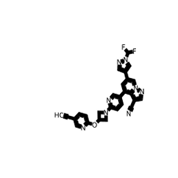 C#Cc1ccc(OC2CN(c3ccc(-c4cc(-c5cnn(C(F)F)c5)cn5ncc(C#N)c45)cn3)C2)nc1